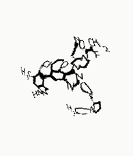 C=C(F)C(=O)N1CCN(c2nc(OC[C@@H]3CCCN3C)nc3cc(-c4c(Cl)c(C)cc5[nH]ncc45)c4c(c23)OCCC4)C[C@@H]1CC#N